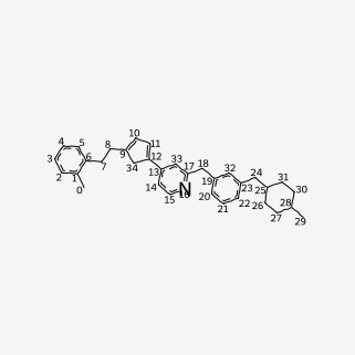 Cc1ccccc1CCC1=CC=C(c2ccnc(Cc3cccc(CC4CCC(C)CC4)c3)c2)C1